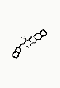 CN(CCC1Cc2ccccc2C1)C(=O)N(C)C[C@@H]1Cc2ccccc2CN1